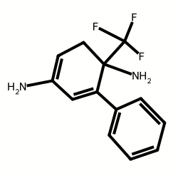 NC1=CCC(N)(C(F)(F)F)C(c2ccccc2)=C1